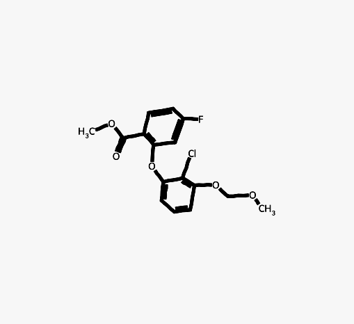 COCOc1cccc(Oc2cc(F)ccc2C(=O)OC)c1Cl